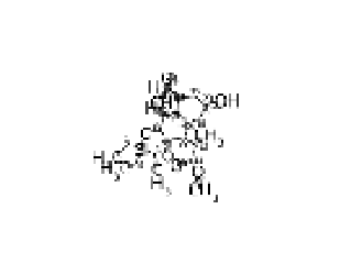 CC[Si](CC)(CC)OC1C(=O)[C@H](CC(=O)OC)[C@@]2(C)C[C@H](O)C[C@@]3(C)C(=O)O[C@@H]1[C@H]23